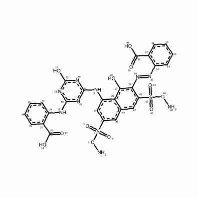 NOS(=O)(=O)c1cc(Nc2nc(O)nc(Nc3ccccc3C(=O)O)n2)c2c(O)c(N=Nc3ccccc3C(=O)O)c(S(=O)(=O)ON)cc2c1